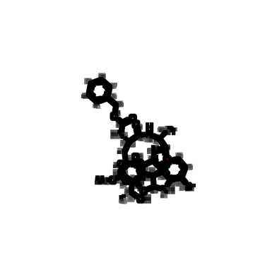 COC(=O)[C@@H](NC(=O)c1nc2oc1[C@]13c4cc(ccc4OC1Nc1c(Br)cccc13)C[C@H](NC(=O)OCc1ccccc1)C(=O)N[C@H]2C(C)C)[C@@H](C)O